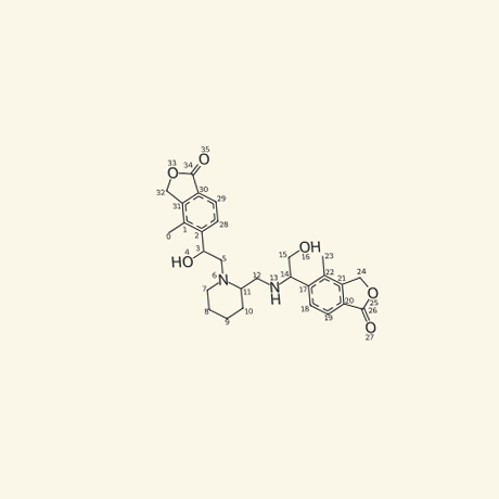 Cc1c(C(O)CN2CCCCC2CNC(CO)c2ccc3c(c2C)COC3=O)ccc2c1COC2=O